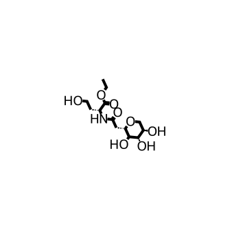 CCOC(=O)[C@@H](CCO)NC(=O)C[C@@H]1OC[C@@H](O)[C@H](O)C1O